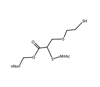 CCCCCCCCCCOC(=O)C(CSCCS)SNC(C)=O